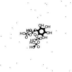 O=P(O)(O)OP(=O)(O)OC1C(O)C(O)C(O)C(O)C1OP(=O)(O)OP(=O)(O)O